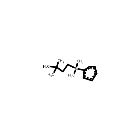 CC(C)(C)CC[Si](C)(C)c1ccccc1